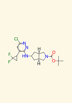 CC(C)(C)OC(=O)N1C[C@H]2CC(Nc3nnc(Cl)cc3C3CC3(F)F)C[C@H]2C1